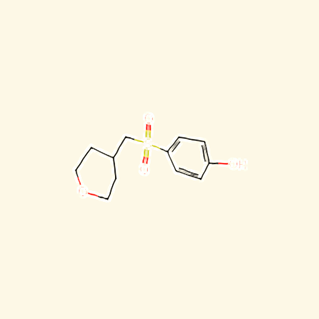 O=S(=O)(CC1CCOCC1)c1ccc(O)cc1